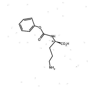 NCCC[C@@H](NC(=O)Oc1ccccc1)C(=O)O